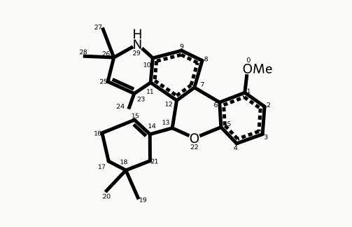 COc1cccc2c1-c1ccc3c(c1C(C1=CCCC(C)(C)C1)O2)C(C)=CC(C)(C)N3